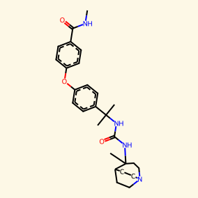 CNC(=O)c1ccc(Oc2ccc(C(C)(C)NC(=O)NC3(C)CCN4CCC3CC4)cc2)cc1